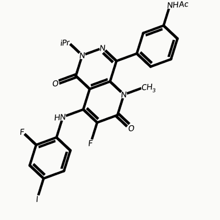 CC(=O)Nc1cccc(-c2nn(C(C)C)c(=O)c3c(Nc4ccc(I)cc4F)c(F)c(=O)n(C)c23)c1